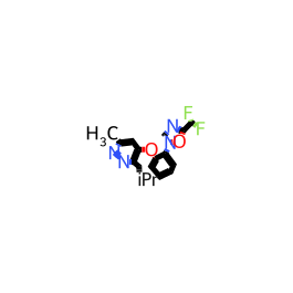 Cc1cc(Oc2ccccc2N2CN=C(C(F)F)O2)c(CC(C)C)nn1